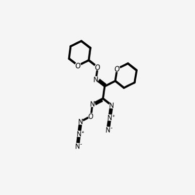 [N-]=[N+]=NON=C(N=[N+]=[N-])C(=NOC1CCCCO1)C1CCCCO1